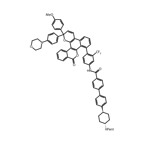 CCCCC[C@H]1CC[C@H](c2ccc(-c3ccc(C(=O)Nc4ccc(-c5cccc6c7c(c8c9ccccc9c(=O)oc8c56)OC(c5ccc(OC)cc5)(c5ccc(N6CCOCC6)cc5)C=C7)c(C(F)(F)F)c4)cc3)cc2)CC1